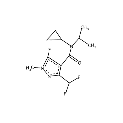 CC(C)N(C(=O)c1c(C(F)F)nn(C)c1F)C1CC1